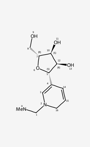 CNCN1C=C([C@@H]2O[C@H](CO)[C@@H](O)[C@H]2O)C=CC1